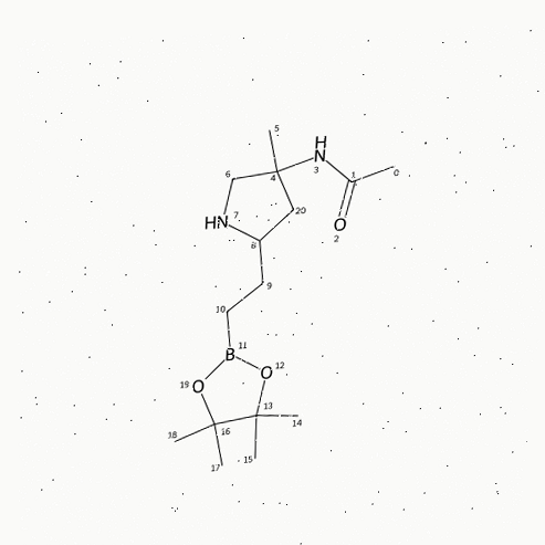 CC(=O)NC1(C)CNC(CCB2OC(C)(C)C(C)(C)O2)C1